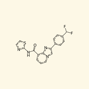 O=C(Nc1nccs1)c1cccn2cc(-c3ccc(C(F)F)cc3)nc12